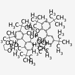 Cc1c(C(C)(C)C)cc(C(C)(C)C)c(OP2OCCO2)c1-c1c(C)c(C(C)(C)C)cc(C(C)(C)C)c1Op1oc2c(C(C)(C)C)cc(C(C)(C)C)cc2c2cc(C(C)(C)C)cc(C(C)(C)C)c2o1